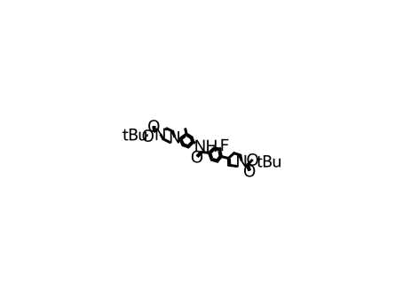 Cc1cc(NC(=O)c2ccc(C3=CCN(C(=O)OC(C)(C)C)CC3)c(F)c2)ccc1N1CCN(C(=O)OC(C)(C)C)CC1